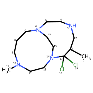 CC1CNCCN2CCCN(C)CCN(CC2)C1(Cl)Cl